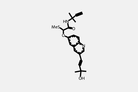 C#CC(C)(C)NC(=O)C(Oc1ccc2ncc(C#CC(C)(C)O)cc2c1)SC